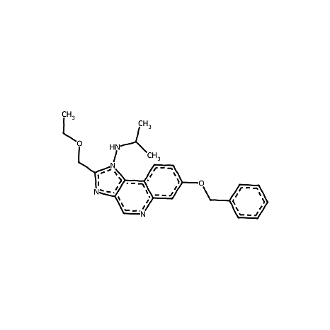 CCOCc1nc2cnc3cc(OCc4ccccc4)ccc3c2n1NC(C)C